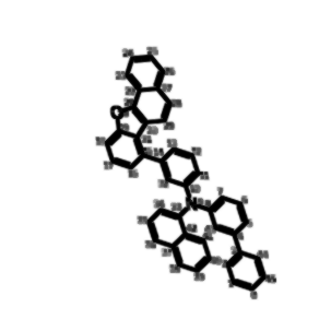 c1ccc(-c2cccc(N(c3cccc(-c4cccc5oc6c7ccccc7ccc6c45)c3)c3cccc4ccccc34)c2)cc1